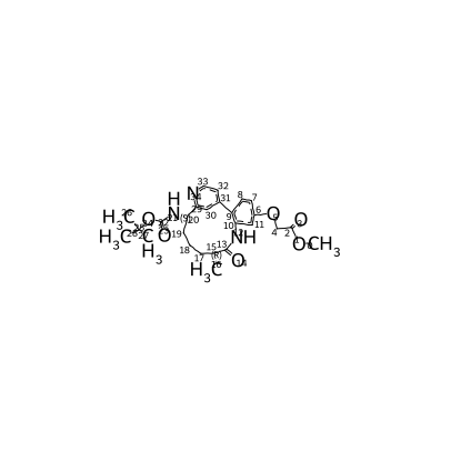 COC(=O)COc1ccc2c(c1)NC(=O)[C@H](C)CCC[C@H](NC(=O)OC(C)(C)C)c1cc-2ccn1